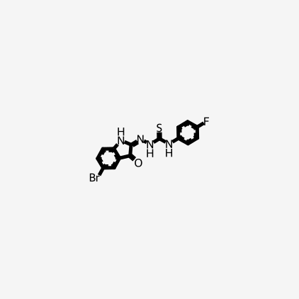 O=C1C(=NNC(=S)Nc2ccc(F)cc2)Nc2ccc(Br)cc21